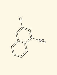 O=[N+]([O-])c1cc(Cl)[c]c2ccccc12